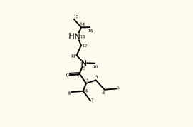 C=C(C(CCC)C(C)C)N(C)CCNC(C)C